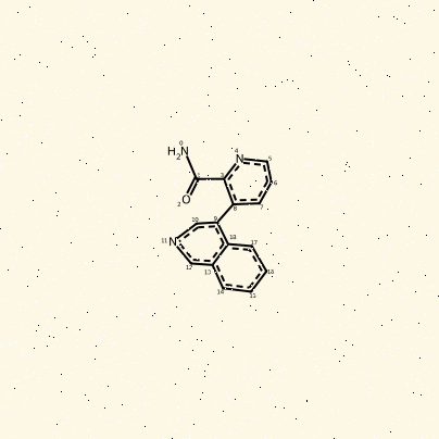 NC(=O)c1ncccc1-c1cncc2ccccc12